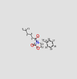 CC(C)CCCC(=O)N1C(=O)OC[C@H]1Cc1ccccc1